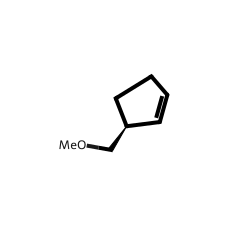 COC[C@@H]1C=CCC1